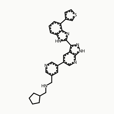 c1cc(-c2ccsc2)c2nc(-c3n[nH]c4ncc(-c5cncc(CNCC6CCCC6)c5)cc34)[nH]c2c1